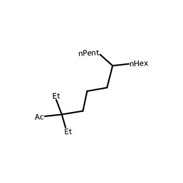 CCCCCCC(CCCCC)CCCC(CC)(CC)C(C)=O